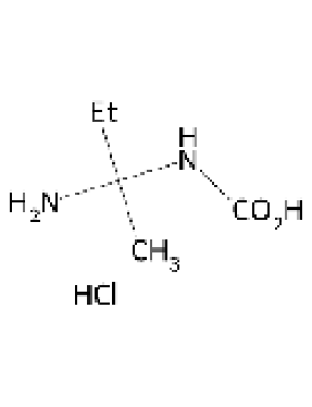 CCC(C)(N)NC(=O)O.Cl